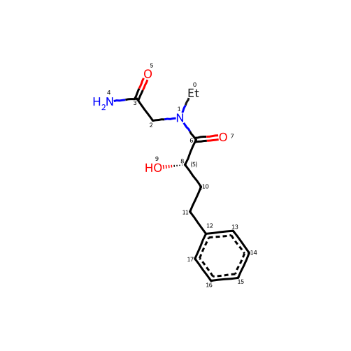 CCN(CC(N)=O)C(=O)[C@@H](O)[CH]Cc1ccccc1